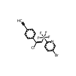 C#Cc1ccc(/C(Cl)=C\S(F)(F)(F)(F)c2ccc(Br)cn2)cc1